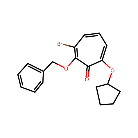 O=c1c(OC2CCCC2)cccc(Br)c1OCc1ccccc1